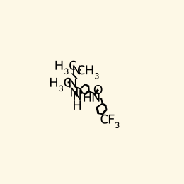 CN(C)CCN(C)c1n[nH]c2cc(C(=O)NCc3ccc(C(F)(F)F)cc3)ccc12